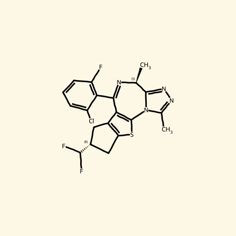 Cc1nnc2n1-c1sc3c(c1C(c1c(F)cccc1Cl)=N[C@H]2C)C[C@@H](C(F)F)C3